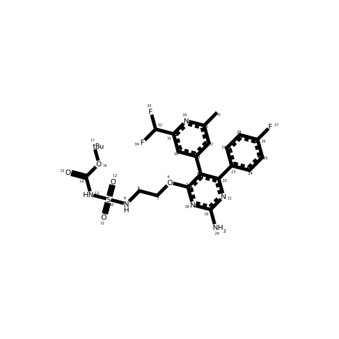 Cc1cc(-c2c(OCCNS(=O)(=O)NC(=O)OC(C)(C)C)nc(N)nc2-c2ccc(F)cc2)cc(C(F)F)n1